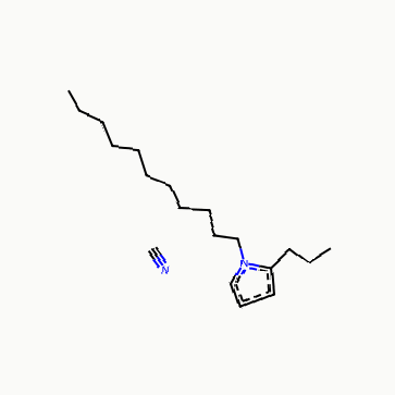 C#N.CCCCCCCCCCCn1cccc1CCC